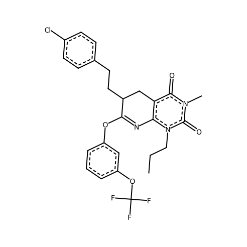 CCCn1c2c(c(=O)n(C)c1=O)CC(CCc1ccc(Cl)cc1)C(Oc1cccc(OC(F)(F)F)c1)=N2